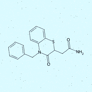 NC(=O)CC1Sc2ccccc2N(Cc2ccccc2)C1=O